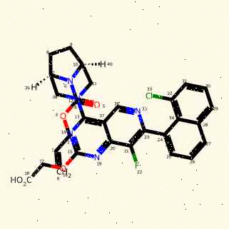 C=CCOC(=O)N1[C@@H]2CC[C@H]1CN(c1nc(OCC(=O)O)nc3c(F)c(-c4cccc5cccc(Cl)c45)ncc13)C2